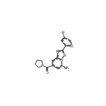 Nc1cc(C(=O)N2CCCC2)cc2nc(-c3cc(Br)co3)nn12